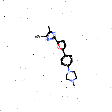 CCCc1[nH]c(-c2ccc(-c3ccc(N4CCN(C)CC4)cc3)o2)nc1C